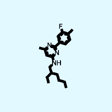 CCCCC(CC)CNc1cc(C)nc(-c2ccc(C)c(F)c2)n1